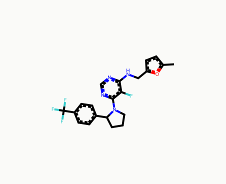 Cc1ccc(CNc2ncnc(N3CCCC3c3ccc(C(F)(F)F)cc3)c2F)o1